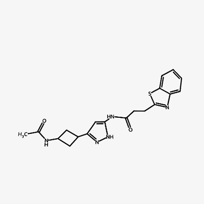 CC(=O)NC1CC(c2cc(NC(=O)CCc3nc4ccccc4s3)[nH]n2)C1